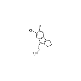 NCCn1c2c(c3cc(F)c(Cl)cc31)CCC2